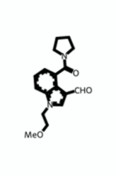 COCCn1cc(C=O)c2c(C(=O)N3CCCC3)cccc21